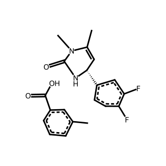 CC1=C[C@H](c2ccc(F)c(F)c2)NC(=O)N1C.Cc1cccc(C(=O)O)c1